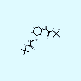 CC(C)(C)OC(=O)NN[C@@H]1CCC[C@@H](NC(=O)OC(C)(C)C)C1